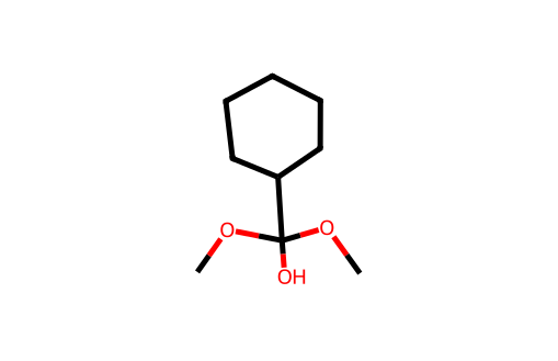 COC(O)(OC)C1CCCCC1